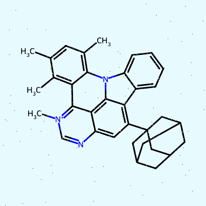 Cc1cc(C)c2c(c1C)c1c3c(cc(C45CC6CC(CC(C6)C4)C5)c4c5ccccc5n2c43)nc[n+]1C